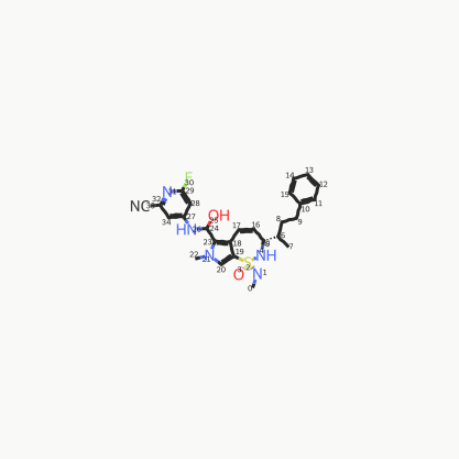 CN=S1(=O)N[C@@H](C(C)CCc2ccccc2)C=Cc2c1cn(C)c2C(O)Nc1cc(F)nc(C#N)c1